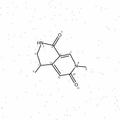 CC1CNC(=O)c2cn(C)c(=O)cc21